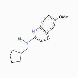 CCN(CC1CCCC1)c1ccc2cc(OC)ccc2n1